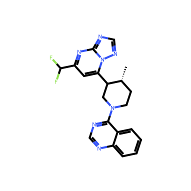 C[C@@H]1CCN(c2ncnc3ccccc23)CC1c1cc(C(F)F)nc2ncnn12